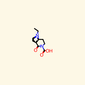 CCn1ccc2c1CCN(C(=O)O)C2=O